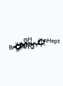 CCCCCCCN1C=CC(/C=C/C(=O)NNC(=O)c2cc3cc(Br)ccc3[nH]2)=CC1